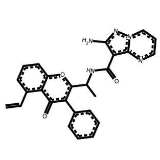 C=Cc1cccc2oc(C(C)NC(=O)c3c(N)nn4cccnc34)c(-c3ccccc3)c(=O)c12